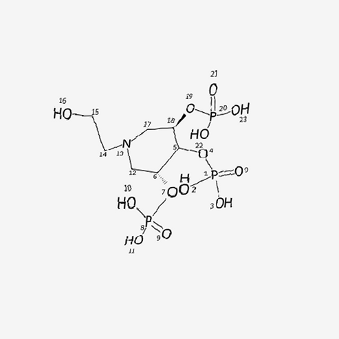 O=P(O)(O)OC1[C@H](OP(=O)(O)O)CN(CCO)C[C@H]1OP(=O)(O)O